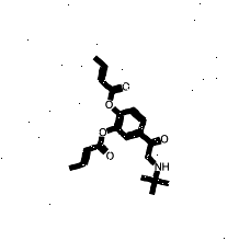 C/C=C/C(=O)Oc1ccc(C(=O)CNC(C)(C)C)cc1OC(=O)/C=C/C